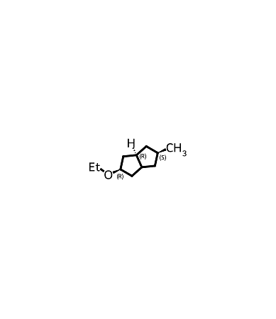 CCO[C@@H]1CC2C[C@H](C)C[C@@H]2C1